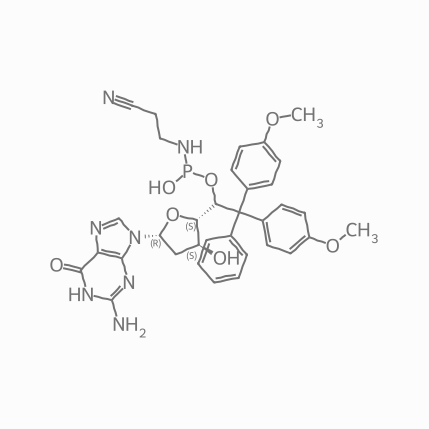 COc1ccc(C(c2ccccc2)(c2ccc(OC)cc2)C(OP(O)NCCC#N)[C@H]2O[C@@H](n3cnc4c(=O)[nH]c(N)nc43)C[C@@H]2O)cc1